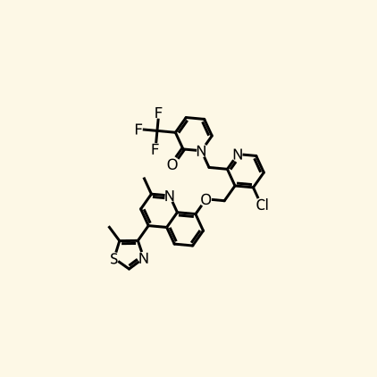 Cc1cc(-c2ncsc2C)c2cccc(OCc3c(Cl)ccnc3Cn3cccc(C(F)(F)F)c3=O)c2n1